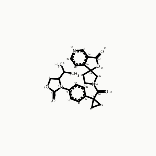 CC(C)C1COC(=O)N1c1ccc(C2(C(=O)N3CCC4(C3)OC(=O)c3cnccc34)CC2)cc1